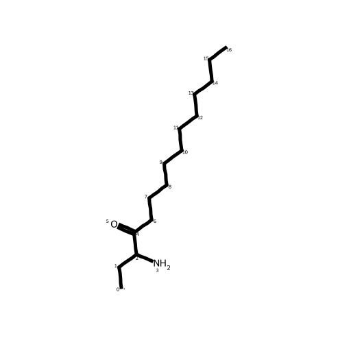 [CH2]CC(N)C(=O)CCCCCCCCCCC